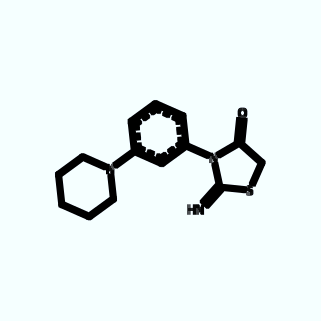 N=C1SCC(=O)N1c1cccc(N2CCCCC2)c1